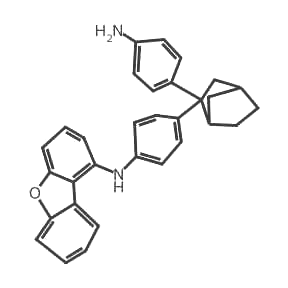 Nc1ccc(C2(c3ccc(Nc4cccc5oc6ccccc6c45)cc3)CC3CCC2C3)cc1